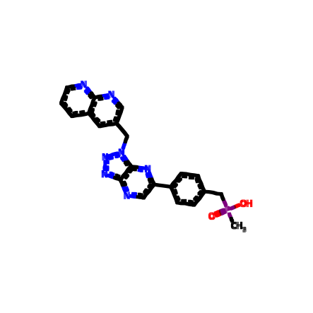 CP(=O)(O)Cc1ccc(-c2cnc3nnn(Cc4cnc5ncccc5c4)c3n2)cc1